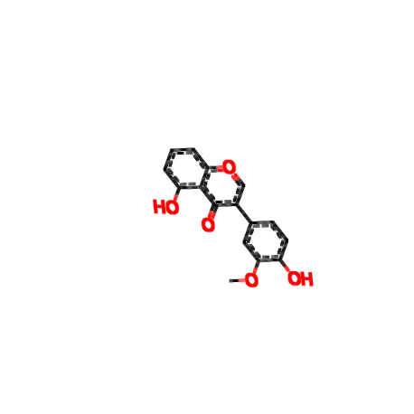 COc1cc(-c2coc3cccc(O)c3c2=O)ccc1O